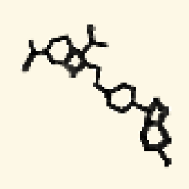 CC(=O)c1c(CCN2CCC(c3noc4cc(F)ccc34)CC2)sc2c1CCN(C(C)=O)C2